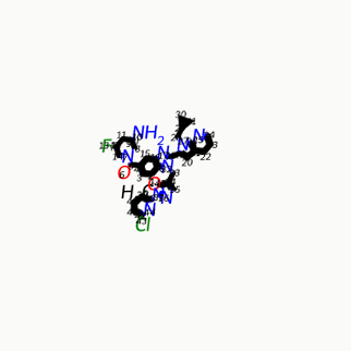 COc1cc(C(=O)N2C[C@H](N)C[C@@H](F)C2)cc2nc(-c3cc4cccnc4n3CC3CC3)n(Cc3cnn(-c4cccc(Cl)n4)c3)c12